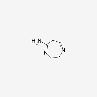 NC1=NCCN=CC1